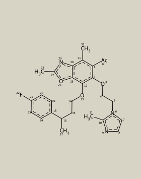 CC(=O)c1c(OCCn2ccnc2C)c(OCCC(C)c2ccc(F)cc2)c2oc(C)nc2c1C